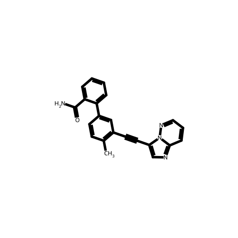 Cc1ccc(-c2ccccc2C(N)=O)cc1C#Cc1cnc2cccnn12